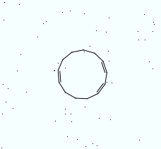 [C]1=CCCCC=CC=CCCCC1